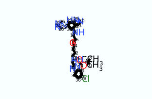 CC(C)(C)OC(=O)n1c(CNCCCCOCCNc2cc(-n3cnnc3)cc3[nH]ncc23)nc2ccc(Cl)cc21